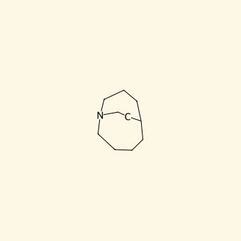 C1CCN2CCCC(C1)CC2